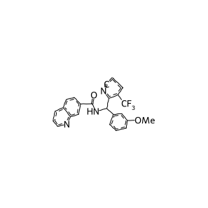 COc1cccc(C(NC(=O)c2ccc3cccnc3c2)c2ncccc2C(F)(F)F)c1